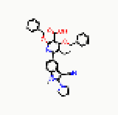 CCc1c(-c2ccc3c(c2)c(C#N)c(N2CCCC2)n3C)nc(OCc2ccccc2)c(C(=O)O)c1OCc1ccccc1